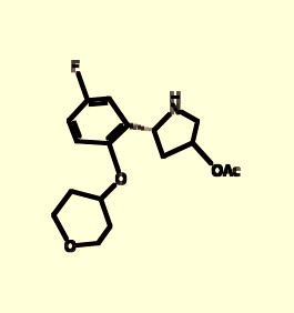 CC(=O)OC1CN[C@@H](c2cc(F)ccc2OC2CCOCC2)C1